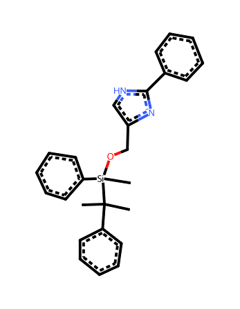 CC(C)(c1ccccc1)[Si](C)(OCc1c[nH]c(-c2ccccc2)n1)c1ccccc1